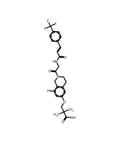 CC(C)(COc1cc(F)c2c(c1)CCN(C(=O)CNC(=O)/C=C/c1ccc(C(F)(F)F)cc1)C2)C(=O)O